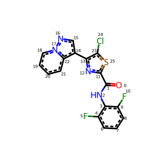 O=C(Nc1c(F)cccc1F)c1nc(-c2cnn3ccccc23)c(Cl)s1